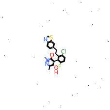 Cc1nn(C)c(=O)c(-c2c(F)ccc(Cl)c2CCc2ccc3ncsc3c2)c1O